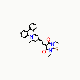 CCN1C(=O)C(=CC=C2C=C(C)N3C(=C2)c2ccccc2-c2ccccc23)C(=O)N(CC)C1=S